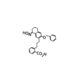 O=C(O)c1ccccc1CCCc1cc2c(cc1OCc1ccccc1)CCCC2=NO